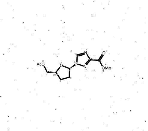 COC(=O)c1ncn([C@H]2CC[C@@H](COC(C)=O)O2)n1